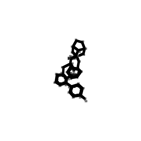 C[N+]1(Cc2ccccc2)CC2CCC(C1)C2COC(=O)Cc1cccc(-c2ccc(F)cc2)c1O